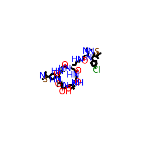 C/N=C1/[C@H](CC(=O)NCCCC[C@@H]2CC(=O)NCC(=O)N[C@@H](C(C)(C)C)C(=O)N3C[C@H](O)C[C@H]3C(=O)N[C@H](c3ccc(-c4scnc4C)cc3)C(=O)NCC(=O)N2)N=C(c2ccc(Cl)cc2)c2c(sc(C)c2C)N1C